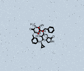 CCC[C@@H](C(=O)N[C@@H](C[C@@H]1CCNC1=O)C(O)C(=O)NC1CC1)N(C)C(=O)[C@@H](Cc1ccccc1)NC(=O)CCc1ccccc1